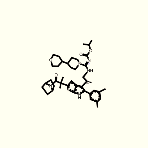 Cc1cc(C)cc(-c2[nH]c3sc(C(C)(C)C(=O)N4C5CCC4CC5)cc3c2[C@H](C)CN/C(=N/C(=O)OC(C)C)N2CCC(C3CCOCC3)CC2)c1